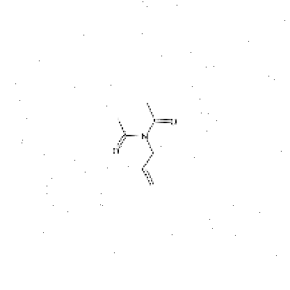 C=CCN(C(C)=O)C(C)=O